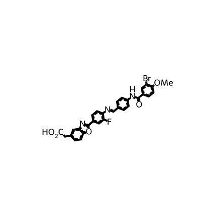 COc1ccc(C(=O)Nc2ccc(C=Nc3ccc(-c4nc5cc(CC(=O)O)ccc5o4)cc3F)cc2)cc1Br